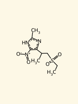 CCS(=O)(=O)CC(C)c1nc(C)[nH]c1[N+](=O)[O-]